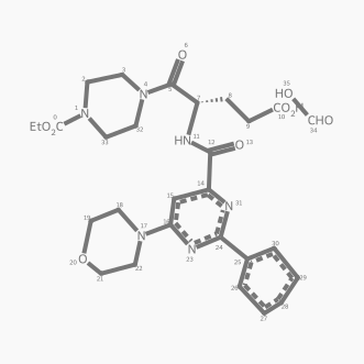 CCOC(=O)N1CCN(C(=O)[C@H](CCC(=O)O)NC(=O)c2cc(N3CCOCC3)nc(-c3ccccc3)n2)CC1.O=CO